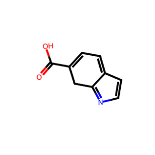 O=C(O)C1=CC=C2C=CN=C2C1